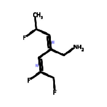 CC(F)/C=C(\C=C(\F)CF)CN